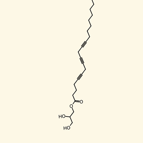 CCCCCCCCC#CCC#CCC#CCCCC(=O)OCC(O)CO